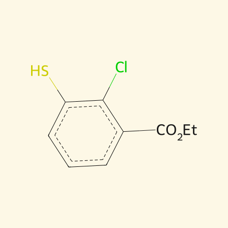 CCOC(=O)c1cccc(S)c1Cl